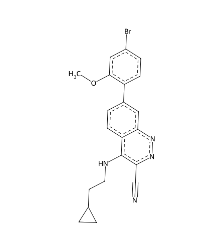 COc1cc(Br)ccc1-c1ccc2c(NCCC3CC3)c(C#N)nnc2c1